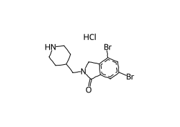 Cl.O=C1c2cc(Br)cc(Br)c2CN1CC1CCNCC1